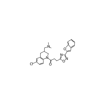 CN(C)CC1Cc2cc(Cl)ccc2N(C(=O)CCc2nc(-c3cc4ccccc4o3)no2)C1